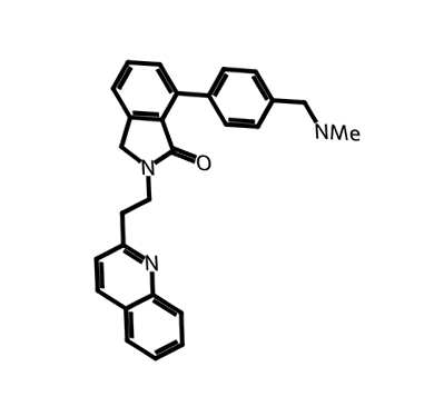 CNCc1ccc(-c2cccc3c2C(=O)N(CCc2ccc4ccccc4n2)C3)cc1